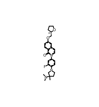 CN(C)C1(C)CCN(c2ccc(-n3ccc4cc(OC[C@H]5CCCO5)ccc4c3=O)cc2F)C1